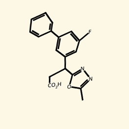 Cc1nnc(C(CC(=O)O)c2cc(F)cc(-c3ccccc3)c2)o1